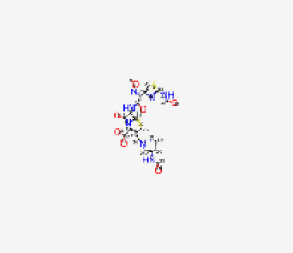 CON=C(C(=O)NC1C(=O)N2C(C(=O)[O-])=C(C[n+]3cccc(NC=O)c3)CS[C@@H]12)c1csc(NC=O)n1